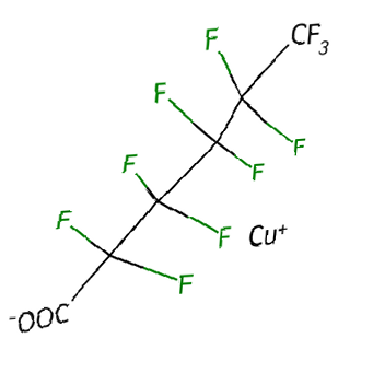 O=C([O-])C(F)(F)C(F)(F)C(F)(F)C(F)(F)C(F)(F)F.[Cu+]